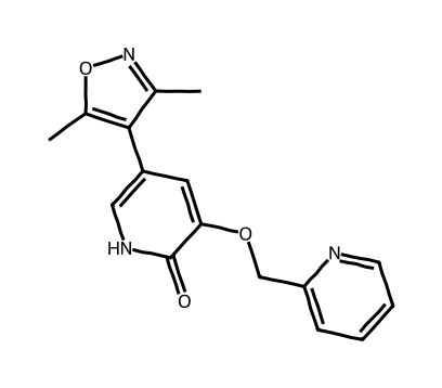 Cc1noc(C)c1-c1c[nH]c(=O)c(OCc2ccccn2)c1